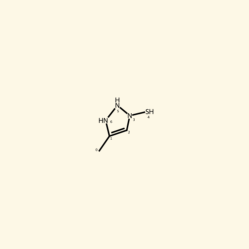 CC1=CN(S)NN1